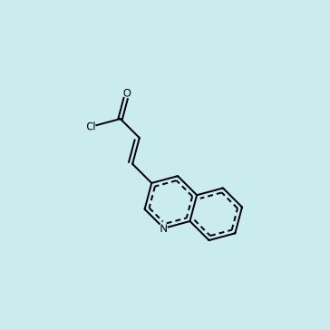 O=C(Cl)C=Cc1cnc2ccccc2c1